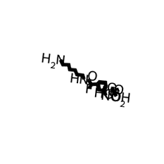 NCCCCCCNC(=O)C(F)c1ccc(OP(=O)(O)O)c([N+](=O)[O-])c1